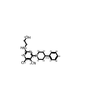 N#Cc1c(Cl)nc(NCCO)nc1N1CCC(c2ccccc2)CC1